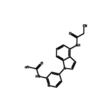 CCCC(=O)Nc1cc(-n2ccc3c(NC(=O)CC#N)cccc32)ccn1